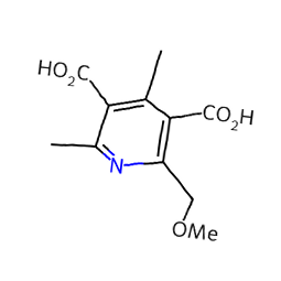 COCc1nc(C)c(C(=O)O)c(C)c1C(=O)O